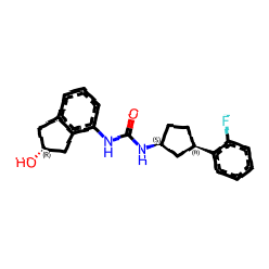 O=C(Nc1cccc2c1C[C@H](O)C2)N[C@H]1CC[C@@H](c2ccccc2F)C1